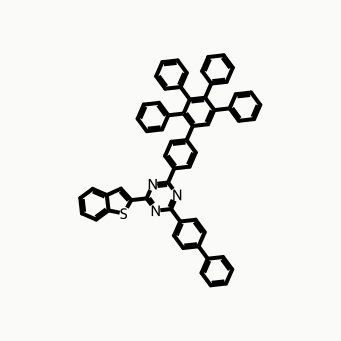 c1ccc(-c2ccc(-c3nc(-c4ccc(-c5cc(-c6ccccc6)c(-c6ccccc6)c(-c6ccccc6)c5-c5ccccc5)cc4)nc(-c4cc5ccccc5s4)n3)cc2)cc1